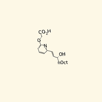 CCCCCCCCC(O)/C=C/c1cccc(OCC(=O)O)n1